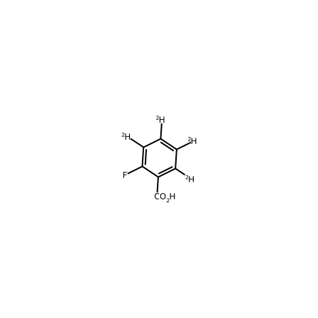 [2H]c1c([2H])c([2H])c(C(=O)O)c(F)c1[2H]